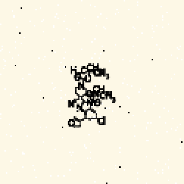 CN(C)S(=O)(=O)n1c(C2(C#N)CCN(C(=O)OC(C)(C)C)CC2)nc2c(-c3ccoc3)cc(Cl)cc21